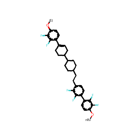 CCCCOc1ccc(-c2ccc(CCC3CCC(C4CC=C(c5ccc(OCC)c(F)c5F)CC4)CC3)c(F)c2F)c(F)c1F